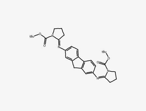 CC(C)(C)OC(=O)N1CCC/C1=N/c1ccc2c(c1)Cc1cc(/N=C3\CCCN3C(=O)OC(C)(C)C)ccc1-2